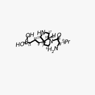 CC(C)[C@H](N)C(=O)N1CC[C@]2(CCCB(O)O)CNC[C@H]12